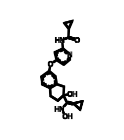 O=C(Nc1cc(Oc2ccc3c(c2)CC(O)(C(NO)=C2CC2)CC3)ccn1)C1CC1